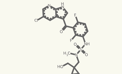 CN(CC1(CO)CC1)S(=O)(=O)Nc1ccc(F)c(C(=O)c2c[nH]c3ncc(Cl)cc23)c1F